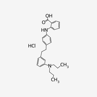 CCCN(CCC)c1cccc(CCc2ccc(Nc3ccccc3C(=O)O)cc2)c1.Cl